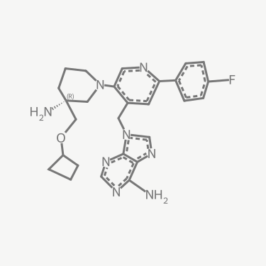 Nc1ncnc2c1ncn2Cc1cc(-c2ccc(F)cc2)ncc1N1CCC[C@](N)(COC2CCC2)C1